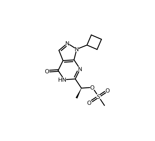 C[C@H](OS(C)(=O)=O)c1nc2c(cnn2C2CCC2)c(=O)[nH]1